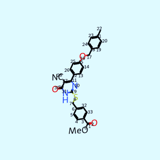 COC(=O)c1ccc(CSc2nc(-c3ccc(OCc4ccc(C)cc4)cc3)c(C#N)c(=O)[nH]2)cc1